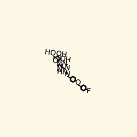 OC[C@H]1O[C@@H](n2cnc3c(NN=Cc4ccc(OCc5ccc(F)cc5)cc4)ncnc32)[C@H](O)[C@@H]1O